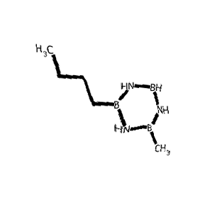 CCCCB1NBNB(C)N1